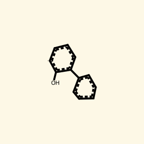 Oc1[c]cccc1-c1ccccc1